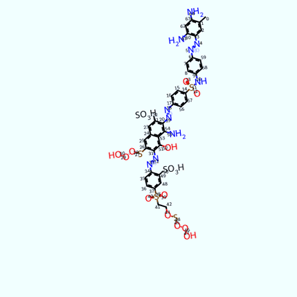 Cc1cc(/N=N/c2ccc(NS(=O)(=O)c3ccc(/N=N/c4c(S(=O)(=O)O)cc5cc(SOOO)c(/N=N/c6ccc(S(=O)(=O)CCOSOOO)cc6S(=O)(=O)O)c(O)c5c4N)cc3)cc2)c(N)cc1N